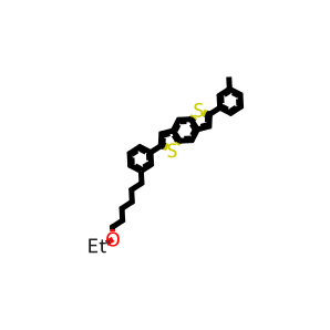 CCOCCCCCCc1cccc(-c2cc3cc4sc(-c5cccc(C)c5)cc4cc3s2)c1